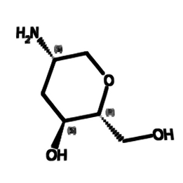 N[C@@H]1CO[C@H](CO)[C@@H](O)C1